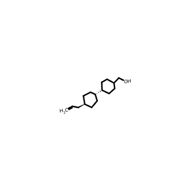 C=CC[C@H]1CC[C@H](C2CCC(CO)CC2)CC1